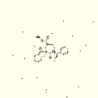 C=CCOC(=O)C1(Cc2ccccc2)CN(C(=O)OC(C)(C)C)CCN(C(=O)c2ccccc2)C1=O